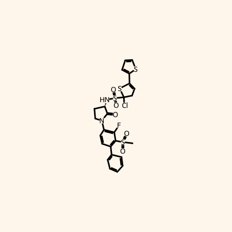 CS(=O)(=O)c1c(-c2ccccc2)ccc(N2CC[C@H](NS(=O)(=O)C3(Cl)CC=C(c4cccs4)S3)C2=O)c1F